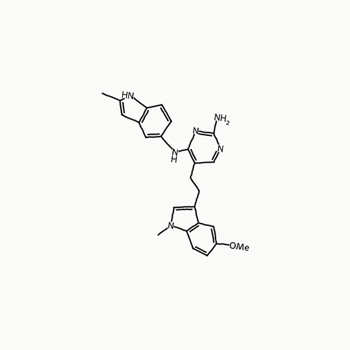 COc1ccc2c(c1)c(CCc1cnc(N)nc1Nc1ccc3[nH]c(C)cc3c1)cn2C